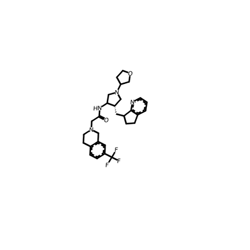 O=C(CN1CCc2ccc(C(F)(F)F)cc2C1)NC1CN(C2CCOC2)C[C@@H]1CC1CCc2cccnc21